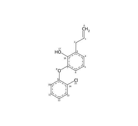 C=CCc1cccc(Oc2ccccc2Cl)c1O